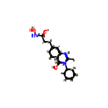 Cc1nc2cc(/C=C/C(=O)NO)ccc2c(=O)n1-c1ccccc1